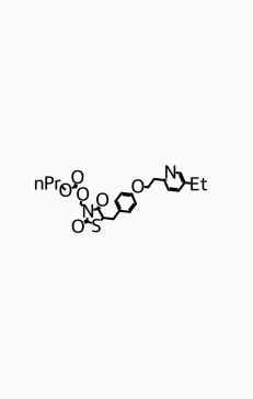 CCCOC(=O)OCN1C(=O)SC(Cc2ccc(OCCc3ccc(CC)cn3)cc2)C1=O